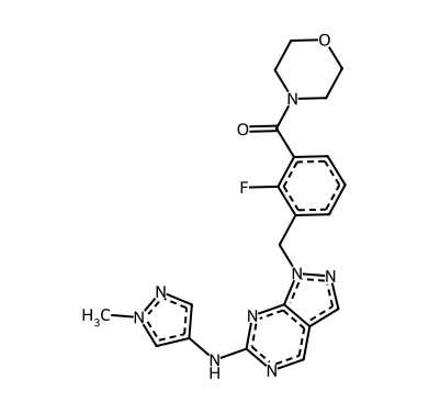 Cn1cc(Nc2ncc3cnn(Cc4cccc(C(=O)N5CCOCC5)c4F)c3n2)cn1